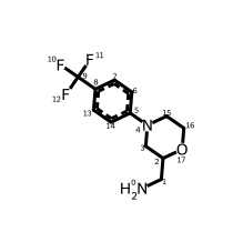 NCC1CN(c2ccc(C(F)(F)F)cc2)CCO1